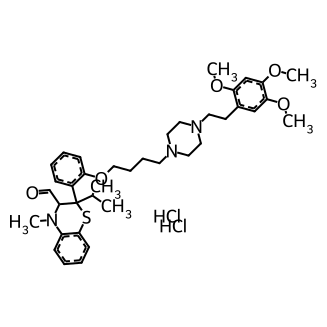 COc1cc(OC)c(OC)cc1CCN1CCN(CCCCOc2ccccc2C2(C(C)C)Sc3ccccc3N(C)C2C=O)CC1.Cl.Cl